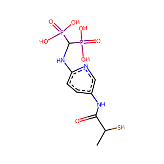 CC(S)C(=O)Nc1ccc(NC(P(=O)(O)O)P(=O)(O)O)nc1